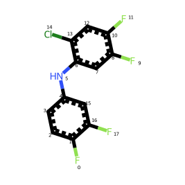 Fc1ccc(Nc2cc(F)c(F)cc2Cl)cc1F